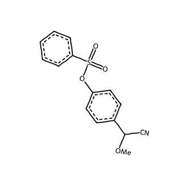 COC(C#N)c1ccc(OS(=O)(=O)c2ccccc2)cc1